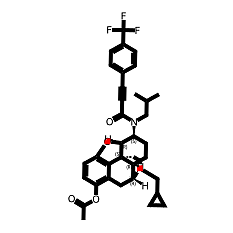 CC(=O)Oc1ccc2c3c1C[C@@H]1[C@@H]4CC[C@H](N(CC(C)C)C(=O)C#Cc5ccc(C(F)(F)F)cc5)[C@H](O2)[C@]34CCN1CC1CC1